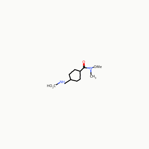 CON(C)C(=O)C1CCC(CNC(=O)O)CC1